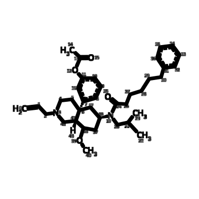 C=CCN1CC[C@@]2(c3cccc(OC(C)=O)c3)C[C@@H](N(CC(C)C)C(=O)CCCCCc3ccccc3)CC(OC)[C@@H]2C1